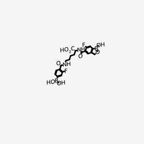 O=C(NCCCC[C@H](NC(=O)c1cc2c(cc1F)B(O)OC2)C(=O)O)c1ccc(B(O)O)cc1F